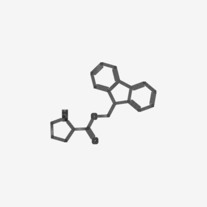 O=C(OCC1c2ccccc2-c2ccccc21)C1CCCN1